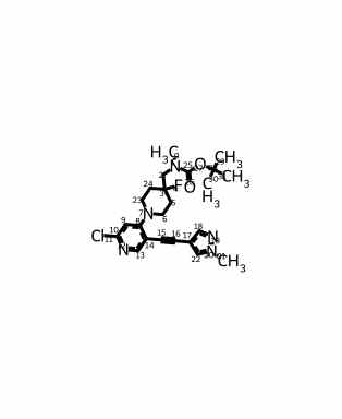 CN(CC1(F)CCN(c2cc(Cl)ncc2C#Cc2cnn(C)c2)CC1)C(=O)OC(C)(C)C